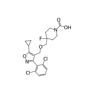 O=C(O)N1CCC(F)(COCc2c(-c3c(Cl)cccc3Cl)noc2C2CC2)CC1